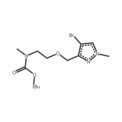 CN(CCOCc1nn(C)cc1Br)C(=O)OC(C)(C)C